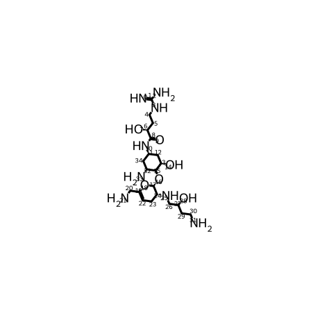 N=C(N)NCC[C@H](O)C(=O)N[C@H]1C[C@@H](O)C(O[C@H]2OC(CN)=CC[C@H]2NCC(O)CCN)[C@@H](N)C1